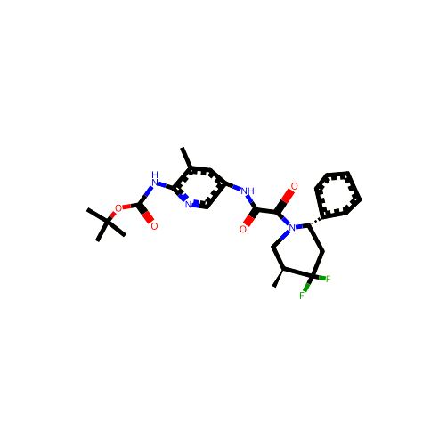 Cc1cc(NC(=O)C(=O)N2C[C@H](C)C(F)(F)C[C@H]2c2ccccc2)cnc1NC(=O)OC(C)(C)C